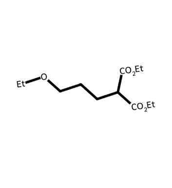 CCOCCCC(C(=O)OCC)C(=O)OCC